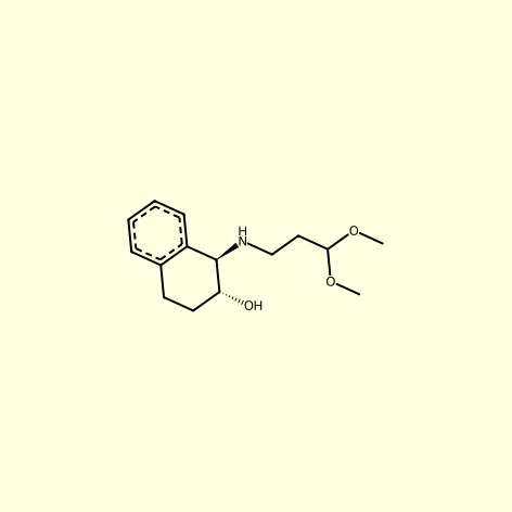 COC(CCN[C@@H]1c2ccccc2CC[C@H]1O)OC